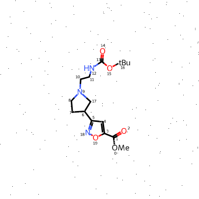 COC(=O)c1cc(C2CCN(CCNC(=O)OC(C)(C)C)C2)no1